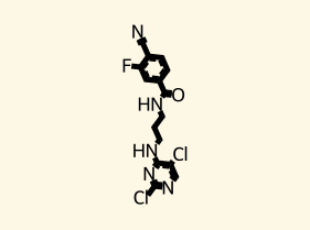 N#Cc1ccc(C(=O)NCCCNc2nc(Cl)ncc2Cl)cc1F